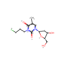 Cc1cn([C@H]2CC(O)[C@@H](CO)O2)c(=O)n(CCCF)c1=O